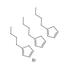 CCCCC1=CC=CC1.CCCCC1=CC=CC1.CCCCC1=CC=CC1.[Er]